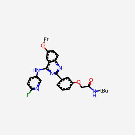 CCOc1ccc2nc(-c3cccc(OCC(=O)NC(C)(C)C)c3)nc(Nc3ccc(F)nc3)c2c1